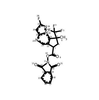 CC1(C(F)(F)F)CC(C(=O)ON2C(=O)c3ccccc3C2=O)c2cnc3cc(F)nn3c21